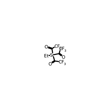 CC[Si](C(=O)C(F)(F)F)(C(=O)C(F)(F)F)C(=O)C(F)(F)F